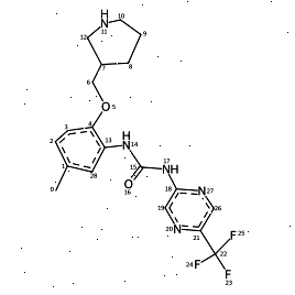 Cc1ccc(OCC2CCCNC2)c(NC(=O)Nc2cnc(C(F)(F)F)cn2)c1